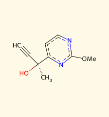 C#C[C@](C)(O)c1ccnc(OC)n1